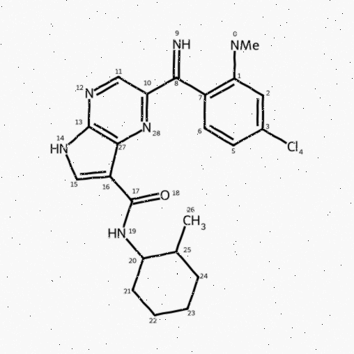 CNc1cc(Cl)ccc1C(=N)c1cnc2[nH]cc(C(=O)NC3CCCCC3C)c2n1